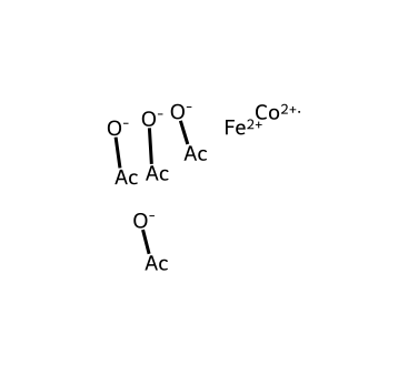 CC(=O)[O-].CC(=O)[O-].CC(=O)[O-].CC(=O)[O-].[Co+2].[Fe+2]